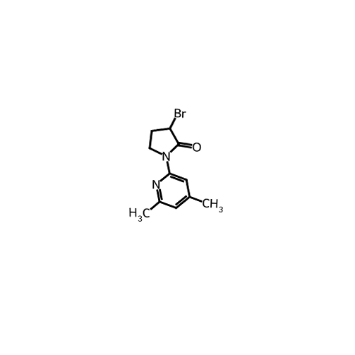 Cc1cc(C)nc(N2CCC(Br)C2=O)c1